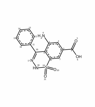 Nc1cc(C(=O)O)cc2c1C(c1ccccc1)=NNS2(=O)=O